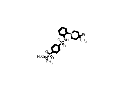 CCC1(C)CCN(c2ccccc2NS(=O)(=O)c2ccc(S(=O)(=O)N(C)C)cc2)CC1